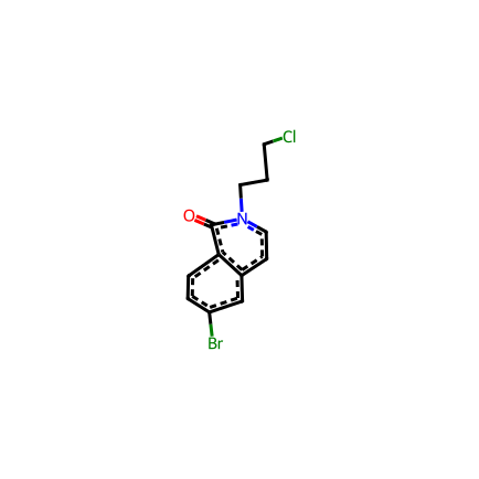 O=c1c2ccc(Br)cc2ccn1CCCCl